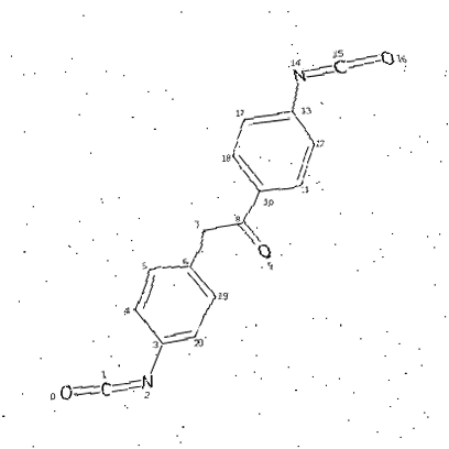 O=C=Nc1ccc(CC(=O)c2ccc(N=C=O)cc2)cc1